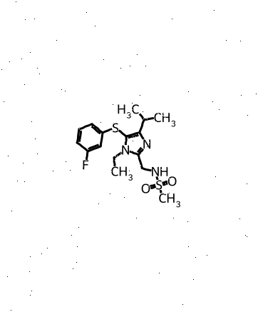 CCn1c(CNS(C)(=O)=O)nc(C(C)C)c1Sc1cccc(F)c1